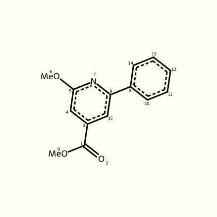 COC(=O)c1cc(OC)nc(-c2ccccc2)c1